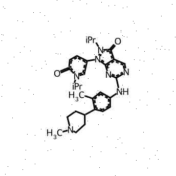 Cc1cc(Nc2ncc3c(=O)n(C(C)C)n(-c4ccc(=O)n(C(C)C)c4)c3n2)ccc1C1CCN(C)CC1